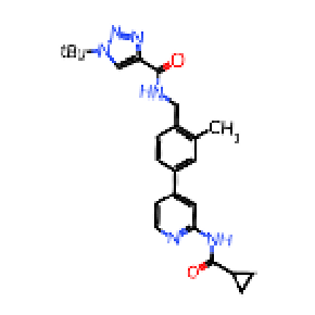 Cc1cc(-c2ccnc(NC(=O)C3CC3)c2)ccc1CNC(=O)c1cn(C(C)(C)C)nn1